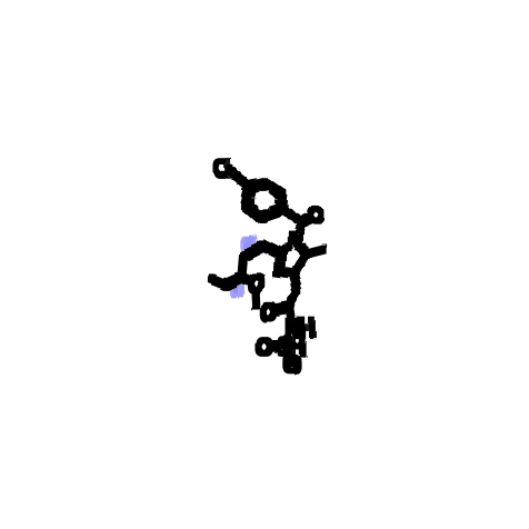 C/C=C(\C=C/C1=CC(CC(=O)N[SH](=O)=O)C(C)N1C(=O)c1ccc(Cl)cc1)OC